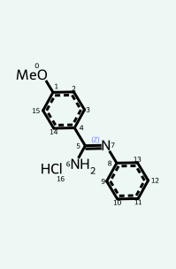 COc1ccc(/C(N)=N/c2ccccc2)cc1.Cl